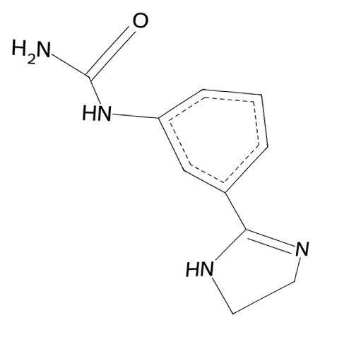 NC(=O)Nc1cccc(C2=NCCN2)c1